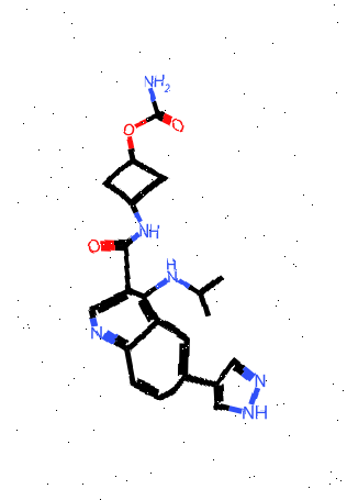 CC(C)Nc1c(C(=O)NC2CC(OC(N)=O)C2)cnc2ccc(-c3cn[nH]c3)cc12